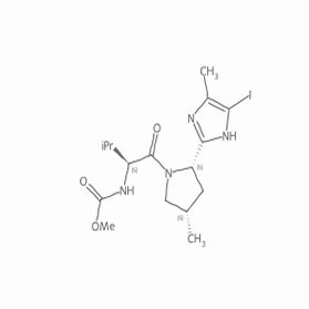 COC(=O)N[C@H](C(=O)N1C[C@@H](C)C[C@H]1c1nc(C)c(I)[nH]1)C(C)C